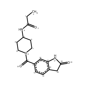 CCC(=O)NC1CCN(C(=O)c2ccc3c(c2)NC(=O)C3)CC1